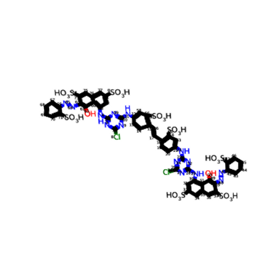 O=S(=O)(O)c1cc(Nc2nc(Cl)nc(Nc3ccc(C=Cc4ccc(Nc5nc(Cl)nc(Nc6cc(S(=O)(=O)O)cc7cc(S(=O)(=O)O)c(N=Nc8ccccc8S(=O)(=O)O)c(O)c67)n5)cc4S(=O)(=O)O)c(S(=O)(=O)O)c3)n2)c2c(O)c(N=Nc3ccccc3S(=O)(=O)O)c(S(=O)(=O)O)cc2c1